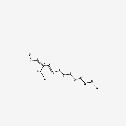 CC/[C]=C(/C=CCCCCCCCC)CC